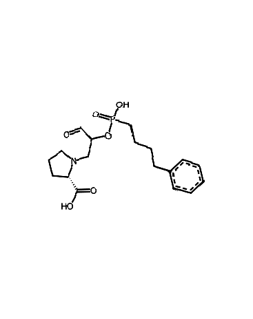 O=CC(CN1CCC[C@H]1C(=O)O)OP(=O)(O)CCCCc1ccccc1